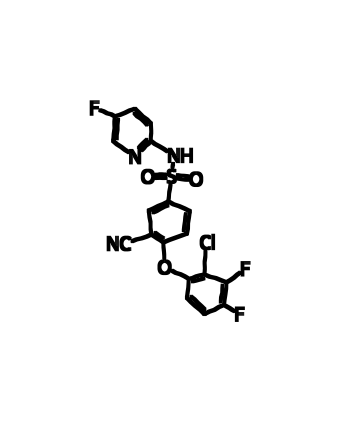 N#Cc1cc(S(=O)(=O)Nc2ccc(F)cn2)ccc1Oc1ccc(F)c(F)c1Cl